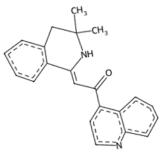 CC1(C)Cc2ccccc2C(=CC(=O)c2ccnc3ccccc23)N1